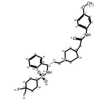 COc1ccc(NC(=O)CC2CCN(CC[C@H](NS(=O)(=O)C3CCC(F)(F)CC3)c3ccccc3)CC2)cc1